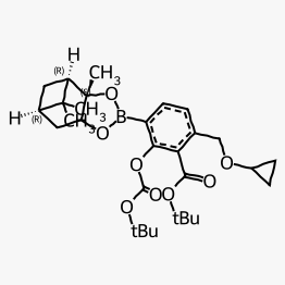 CC(C)(C)OC(=O)Oc1c(B2OC3C[C@H]4C[C@H](C4(C)C)[C@]3(C)O2)ccc(COC2CC2)c1C(=O)OC(C)(C)C